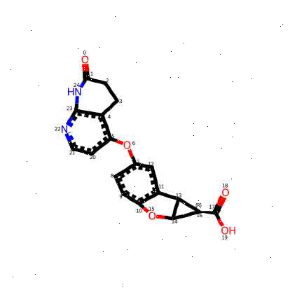 O=C1CCc2c(Oc3ccc4c(c3)C3C(O4)[C@@H]3C(=O)O)ccnc2N1